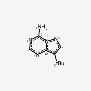 CC(C)(C)c1cnn2c(N)ncnc12